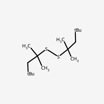 CC(C)(C)CC(C)(C)SSC(C)(C)CC(C)(C)C